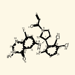 C=CC(=O)N1CC[C@@](Nc2cc(F)c3ncn(C(C)C)c(=O)c3c2)(c2c(F)ccc(Cl)c2Cl)C1